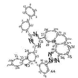 c1ccc(-c2cccc(-c3nc(-c4ccc5oc6ccccc6c5c4)nc(-c4ccc5ccc6ccc7nn(-c8ccccc8)nc7c6c5c4)n3)c2)cc1